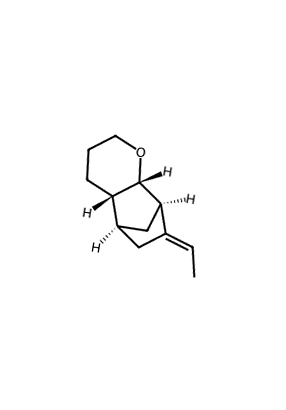 C/C=C1\C[C@@H]2C[C@H]1[C@H]1OCCC[C@@H]21